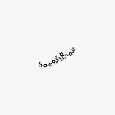 Cc1ccc(COCc2ccc(OC(F)(F)F)cc2)c(N2C(=O)CS/C2=N\C(=O)Nc2ccc(-c3ncn(-c4ccc(OC(F)(F)F)cc4)n3)cc2F)c1